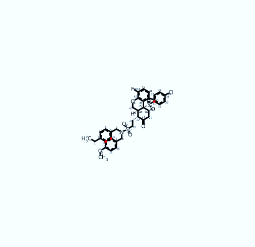 CCc1ccc(CN(Cc2ccc(OC)cc2)S(=O)(=O)CC[C@H]2C(=O)CC[C@]3(S(=O)(=O)c4ccc(Cl)cc4)c4c(F)ccc(F)c4OC[C@H]23)cc1